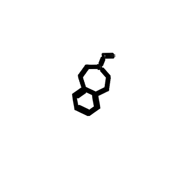 O=[C]N1CCc2ccccc2CC1